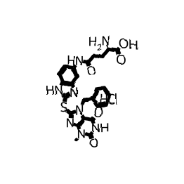 Cl.Cn1c(=O)[nH]c(=O)c2c1nc(Sc1nc3cc(NC(=O)CC[C@H](N)C(=O)O)ccc3[nH]1)n2Cc1ccccc1